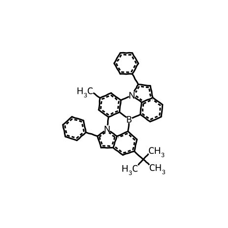 Cc1cc2c3c(c1)-n1c(-c4ccccc4)cc4cc(C(C)(C)C)cc(c41)B3c1cccc3cc(-c4ccccc4)n-2c13